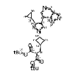 Cn1ncc2cncc(-c3cn([C@H]4C[C@H](CN(C(=O)OC(C)(C)C)C(=O)OC(C)(C)C)C4)nc3C3CC3)c21